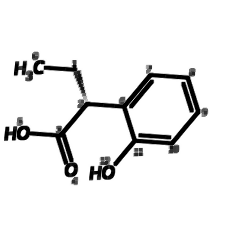 CC[C@@H](C(=O)O)c1ccccc1O